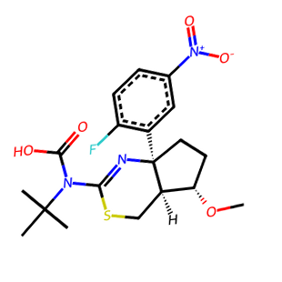 CO[C@H]1CC[C@]2(c3cc([N+](=O)[O-])ccc3F)N=C(N(C(=O)O)C(C)(C)C)SC[C@H]12